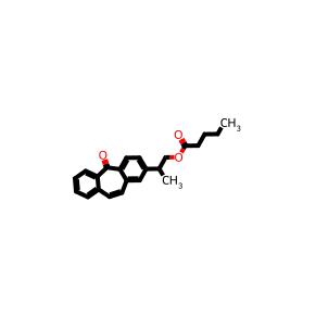 CCCCC(=O)OCC(C)c1ccc2c(=O)c3ccccc3ccc2c1